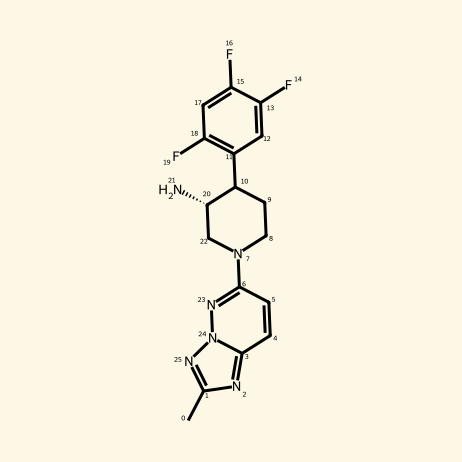 Cc1nc2ccc(N3CCC(c4cc(F)c(F)cc4F)[C@@H](N)C3)nn2n1